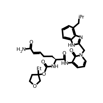 CCC1(OC(=O)N[C@@H](CC/C=C/C(N)=O)C(=O)Nc2cccn(Cc3nc4c(CC(C)C)cccc4[nH]3)c2=O)CCOC1